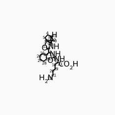 CC1(C)[C@@H]2CC[C@@]1(C)[C@@H](NC(=O)C(NC(=O)NC(CCCCN)C(=O)O)C1CCCCC1)C2